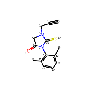 C#CCN1CC(=O)N(c2c(C)cccc2C)C1=S